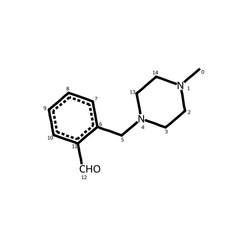 CN1CCN(Cc2ccccc2C=O)CC1